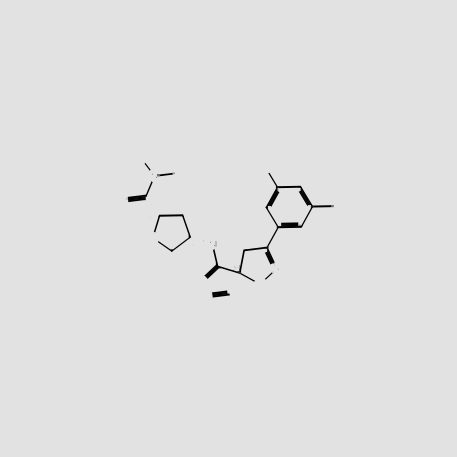 C=C[C@]1(C(=O)N[C@@H]2CO[C@H](C(=O)N(C)C)C2)CC(c2cc(F)cc(F)c2)=NO1